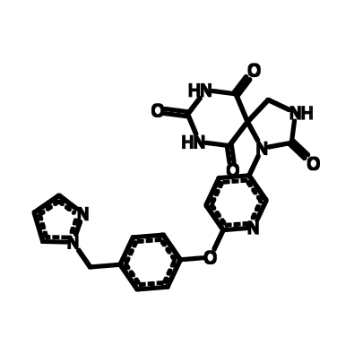 O=C1NC(=O)C2(CNC(=O)N2c2ccc(Oc3ccc(Cn4cccn4)cc3)nc2)C(=O)N1